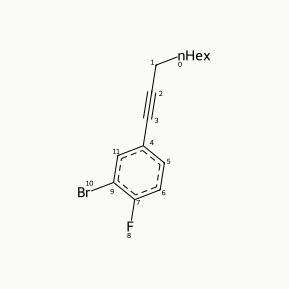 CCCCCCCC#Cc1ccc(F)c(Br)c1